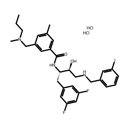 CCCN(C)Cc1cc(C)cc(C(=O)N[C@@H](Cc2cc(F)cc(F)c2)[C@@H](O)CNCc2cccc(I)c2)c1.Cl.Cl